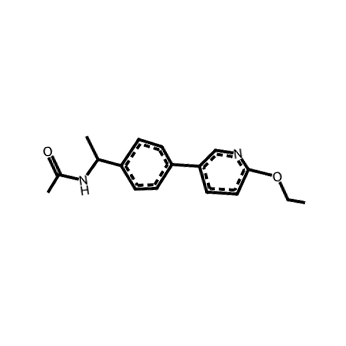 CCOc1ccc(-c2ccc(C(C)NC(C)=O)cc2)cn1